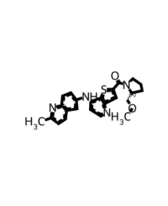 COC[C@H]1CCCN1C(=O)c1cc2nccc(Nc3ccc4nc(C)ccc4c3)c2s1